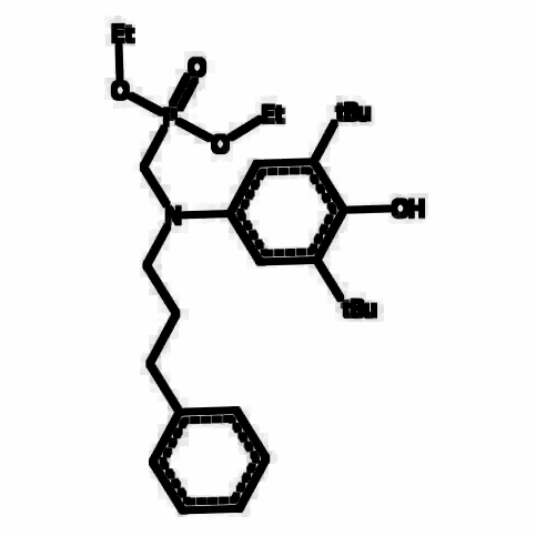 CCOP(=O)(CN(CCCc1ccccc1)c1cc(C(C)(C)C)c(O)c(C(C)(C)C)c1)OCC